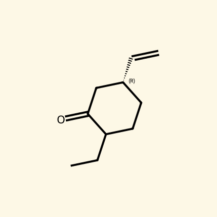 C=C[C@@H]1CCC(CC)C(=O)C1